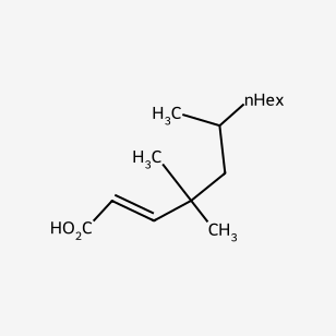 CCCCCCC(C)CC(C)(C)C=CC(=O)O